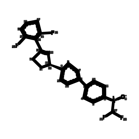 [O-][S+](c1ccc(-c2ccc([C@H]3CCC(c4c(F)cccc4F)=N3)cc2)cc1)C(F)F